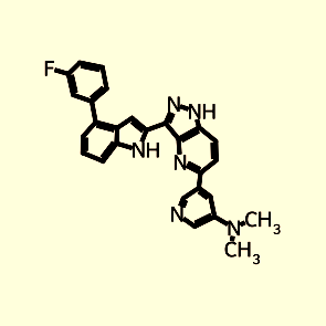 CN(C)c1cncc(-c2ccc3[nH]nc(-c4cc5c(-c6cccc(F)c6)cccc5[nH]4)c3n2)c1